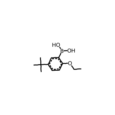 CCOc1ccc(C(C)(C)C)cc1B(O)O